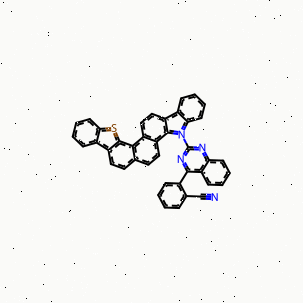 N#Cc1ccccc1-c1nc(-n2c3ccccc3c3ccc4c(ccc5ccc6c7ccccc7sc6c54)c32)nc2ccccc12